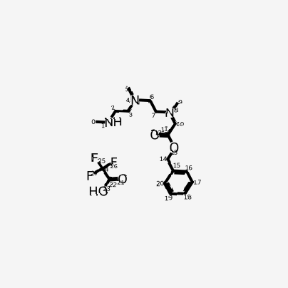 CNCCN(C)CCN(C)CC(=O)OCc1ccccc1.O=C(O)C(F)(F)F